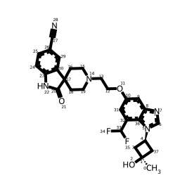 C[C@]1(O)C[C@@H](n2cnc3cc(OCCN4CCC5(CC4)C(=O)Nc4ccc(C#N)cc45)cc(C(F)F)c32)C1